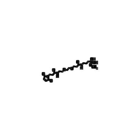 CO[Si](O)(O)CCCNC(=O)CCOCCOCCNC(=O)CCN1C(=O)C=CC1=O